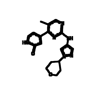 Cc1cnc(Nc2cnn(C3CCOCC3)c2)nc1-c1cc[nH]c(=O)c1